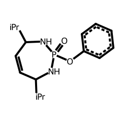 CC(C)C1C=CC(C(C)C)NP(=O)(Oc2ccccc2)N1